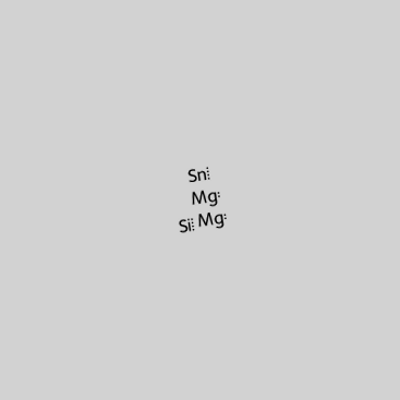 [Mg].[Mg].[Si].[Sn]